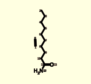 C=C.CCCCCCCCCC(N)=O